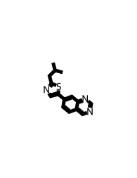 C[C](C)Cc1ncc(-c2ccc3cncnc3c2)s1